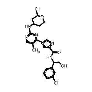 Cc1cnc(NC2CCOC(C)C2)nc1-n1cnc(C(=O)NC(CO)c2cccc(Cl)c2)c1